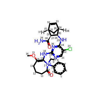 CC[N+]1(c2ccccc2)C(=O)CCCC(OC)=C1Nc1ncc(Cl)c(N[C@H]2[C@@H](C(N)=O)[C@@H]3C=C[C@H]2C3)n1